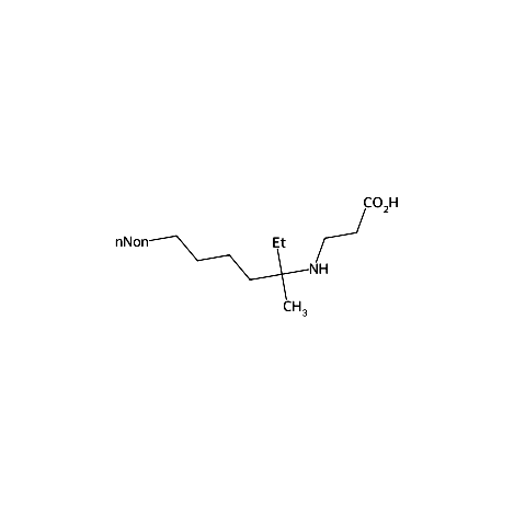 CCCCCCCCCCCCCC(C)(CC)NCCC(=O)O